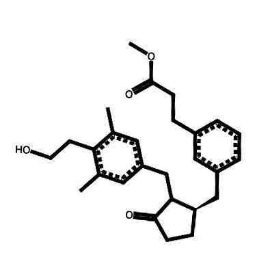 COC(=O)CCc1cccc(C[C@H]2CCC(=O)C2Cc2cc(C)c(CCO)c(C)c2)c1